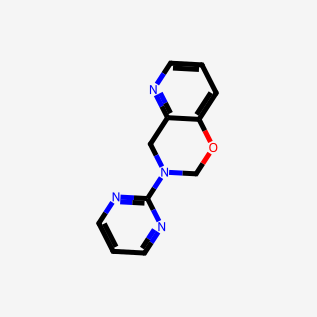 c1cnc(N2COc3cccnc3C2)nc1